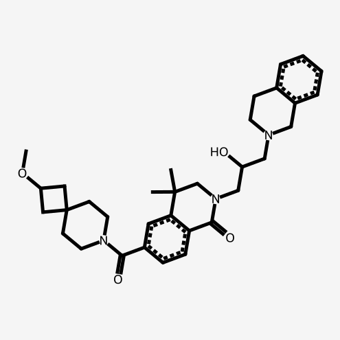 COC1CC2(CCN(C(=O)c3ccc4c(c3)C(C)(C)CN(CC(O)CN3CCc5ccccc5C3)C4=O)CC2)C1